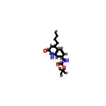 CCCCc1cc(=O)[nH]c2cc(NC(=O)OC(C)(C)C)ccc12